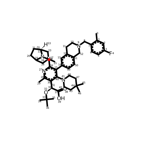 Cc1cc(F)ccc1CN1CCc2cc(-c3c(CN4C5CC[C@H]4CN(C)C5)nc(C)c([C@H](OC(C)(C)C)C(=O)O)c3N3CCC(C)(C)CC3)ccc2C1